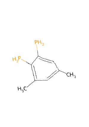 Cc1cc(C)c(P)c(P)c1